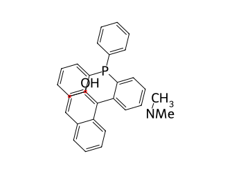 CNC.Oc1ccc2ccccc2c1-c1ccccc1P(c1ccccc1)c1ccccc1